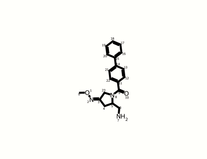 CON=C1CC(CN)N(C(=O)c2ccc(-c3ccccc3)cc2)C1